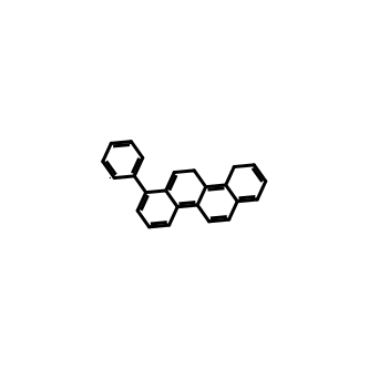 [c]1ccccc1-c1cccc2c1=CCc1c3c(ccc1=2)=CC=CC3